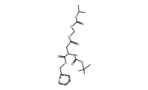 CC(C)OC(=O)OCOC(=O)CC(NC(=O)OC(C)(C)C)C(=O)OCc1ccccc1